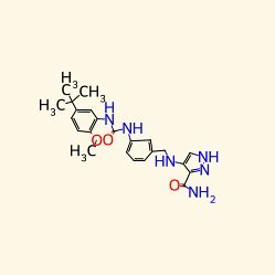 COc1ccc(C(C)(C)C)cc1NC(=O)Nc1cccc(CNc2c[nH]nc2C(N)=O)c1